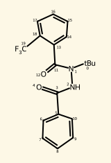 CC(C)(C)N(NC(=O)c1ccccc1)C(=O)c1ccccc1C(F)(F)F